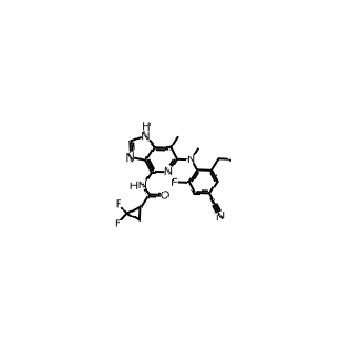 CCc1cc(C#N)cc(F)c1N(C)c1nc(NC(=O)C2CC2(F)F)c2nc[nH]c2c1C